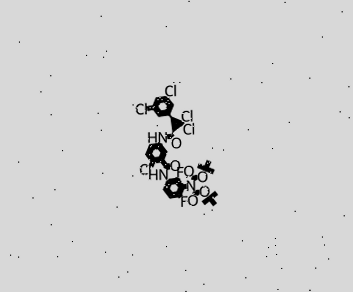 CC(C)(C)OC(=O)N(C(=O)OC(C)(C)C)c1c(F)ccc(NC(=O)c2cc(NC(=O)[C@@H]3[C@@H](c4cc(Cl)cc(Cl)c4)C3(Cl)Cl)ccc2Cl)c1F